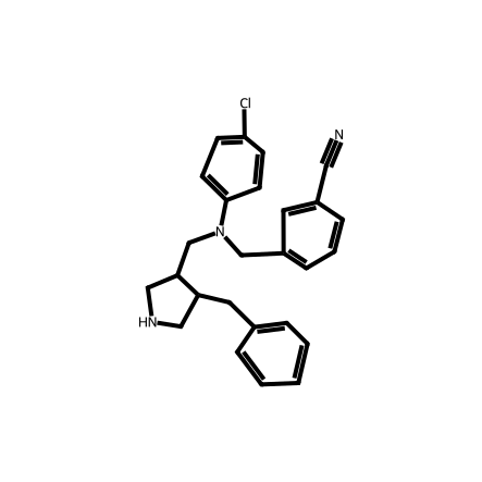 N#Cc1cccc(CN(CC2CNCC2Cc2ccccc2)c2ccc(Cl)cc2)c1